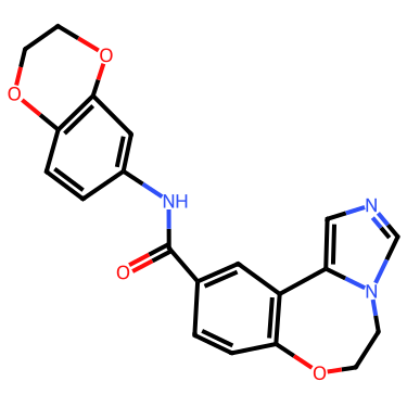 O=C(Nc1ccc2c(c1)OCCO2)c1ccc2c(c1)-c1cncn1CCO2